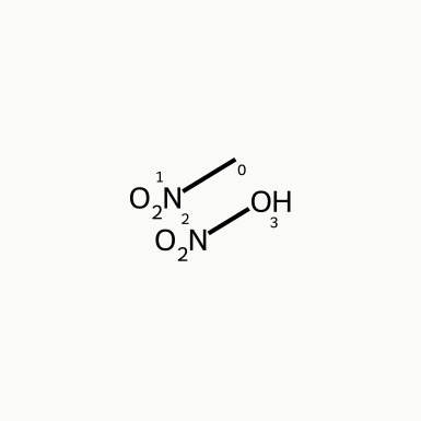 C[N+](=O)[O-].O=[N+]([O-])O